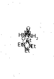 CCN1CCN(CC)CCN(CC)C(Cc2ccc(Nc3nc(N)nc(N4CCCCC4)n3)cc2)CN(CC)CC1